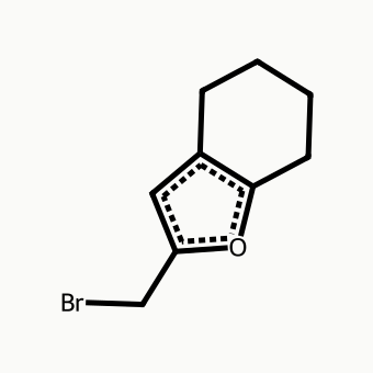 BrCc1cc2c(o1)CCCC2